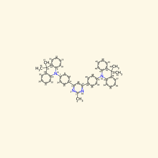 Cc1nc(-c2ccc(N3c4ccccc4C(C)(C)c4ccccc43)cc2)cc(-c2ccc(N3c4ccccc4C(C)(C)c4ccccc43)cc2)n1